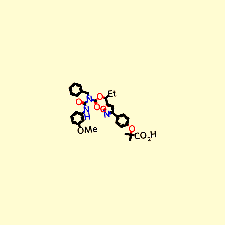 CCC(OC(=O)N(Cc1ccccc1)C(=O)Nc1cccc(OC)c1)c1cc(-c2ccc(OC(C)(C)C(=O)O)cc2)no1